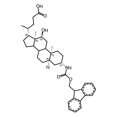 CC(CCC(=O)O)[C@H]1CCC2C3CC[C@@H]4C[C@@H](NC(=O)OCC5c6ccccc6-c6ccccc65)CC[C@]4(C)C3C[C@H](O)[C@@]21C